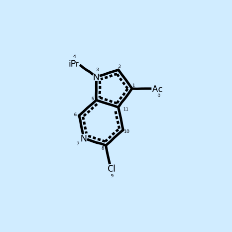 CC(=O)c1cn(C(C)C)c2cnc(Cl)cc12